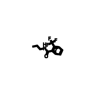 CCCNC(=O)C1=C(C(F)(F)F)C2C=CC1O2